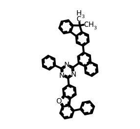 CC1(C)c2ccccc2-c2cc(-c3cc(-c4nc(-c5ccccc5)nc(-c5ccc6c(c5)oc5cccc(-c7ccccc7)c56)n4)c4ccccc4c3)ccc21